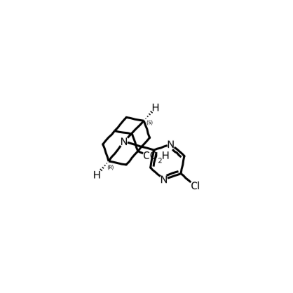 O=C(O)C12CC3C[C@H](C1)N(c1cnc(Cl)cn1)[C@@H](C3)C2